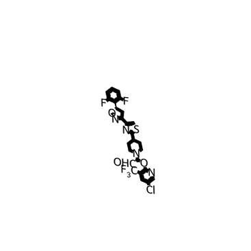 O=CC(Oc1ncc(Cl)cc1C(F)(F)F)N1CCC(c2nc(C3=NO[C@@H](c4c(F)cccc4F)C3)cs2)CC1